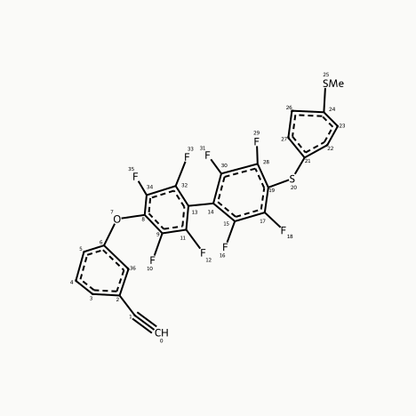 C#Cc1cccc(Oc2c(F)c(F)c(-c3c(F)c(F)c(Sc4ccc(SC)cc4)c(F)c3F)c(F)c2F)c1